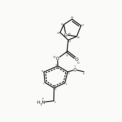 COc1cc(CN)ccc1OC(=O)C1CC2C=CC1O2